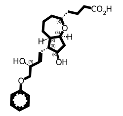 O=C(O)CCC[C@H]1CCC[C@@H]2[C@@H](C=C[C@@H](O)COc3ccccc3)[C@H](O)C[C@@H]2O1